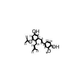 COc1cc(C=Cc2cc(O)cc(OC(C)C)c2CC=C(C)C)ccc1O